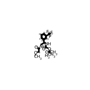 COCC(=O)NCC(NC(=O)OC(C)(C)C)c1cccc(C(F)(F)F)c1